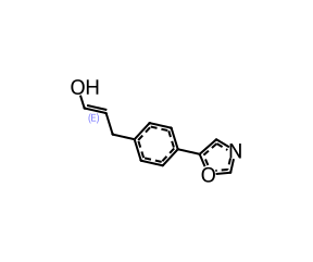 O/C=C/Cc1ccc(-c2cnco2)cc1